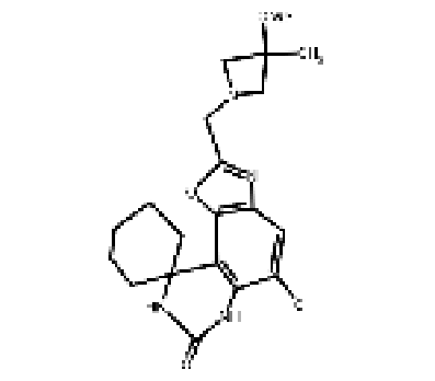 COC1(C)CN(Cc2nc3cc(Cl)c4c(c3o2)C2(CCCCC2)NC(=O)N4)C1